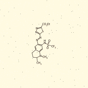 CCOC(=O)c1nnc(N=Nc2cc3c(cc2NS(=O)(=O)C(F)(F)F)N(C)C(C)CC3)s1